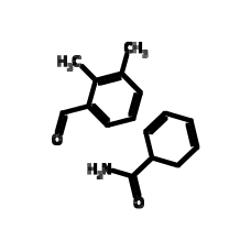 Cc1cccc(C=O)c1C.NC(=O)C1C=CC=CC1